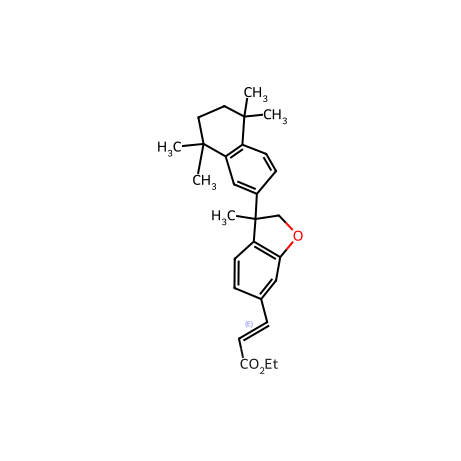 CCOC(=O)/C=C/c1ccc2c(c1)OCC2(C)c1ccc2c(c1)C(C)(C)CCC2(C)C